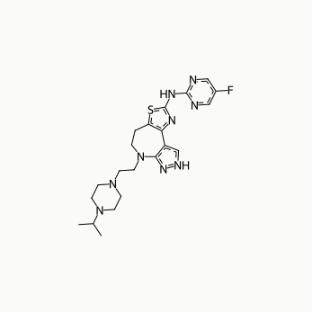 CC(C)N1CCN(CCN2CCc3sc(Nc4ncc(F)cn4)nc3-c3c[nH]nc32)CC1